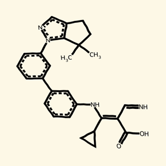 CC1(C)CCc2cnn(-c3cccc(-c4cccc(N/C(=C(\C=N)C(=O)O)C5CC5)c4)c3)c21